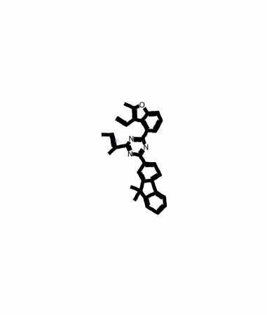 C=Cc1c(C)oc2cccc(-c3nc(/C(C)=C/C)nc(-c4ccc5c(c4)C(C)(C)c4ccccc4-5)n3)c12